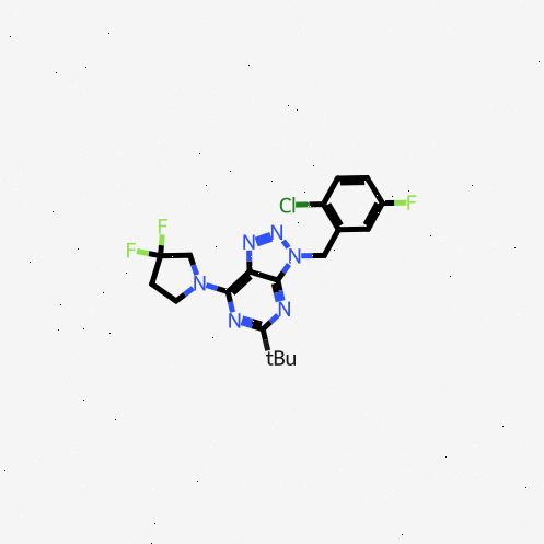 CC(C)(C)c1nc(N2CCC(F)(F)C2)c2nnn(Cc3cc(F)ccc3Cl)c2n1